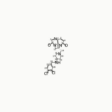 O=c1cnc2ccc(=O)n3c2n1C[C@H]3CN1CCC(NCc2ccc(Cl)c(Cl)c2)CC1